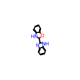 c1ccc2c(c1)NC(c1nc3ccccc3[nH]1)O2